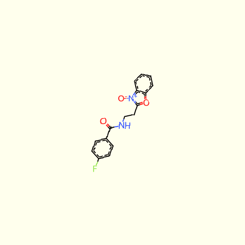 O=C(NCCc1oc2ccccc2[n+]1[O-])c1ccc(F)cc1